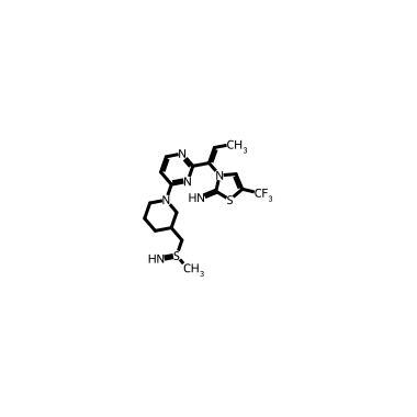 C/C=C(/c1nccc(N2CCCC(CS(C)=N)C2)n1)n1cc(C(F)(F)F)sc1=N